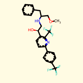 COCC(Cc1ccccc1)NC[C@H](O)c1ccc(-c2ccc(C(F)(F)F)cc2)nc1C(F)(F)F